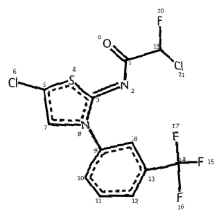 O=C(N=c1sc(Cl)cn1-c1cccc(C(F)(F)F)c1)C(F)Cl